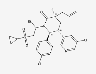 C=CC[C@@]1(C)C[C@H](c2cncc(Cl)c2)[C@@H](c2ccc(Cl)cc2)N(C(CC)CS(=O)(=O)C2CC2)C1=O